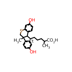 CCC(CCCC(C)C(=O)O)C1c2ccc(O)cc2SCC1(C)c1ccc(O)cc1